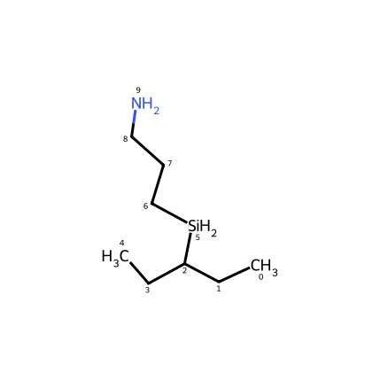 CCC(CC)[SiH2]CCCN